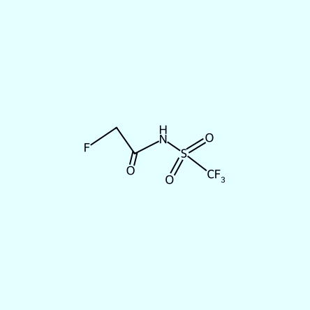 O=C(CF)NS(=O)(=O)C(F)(F)F